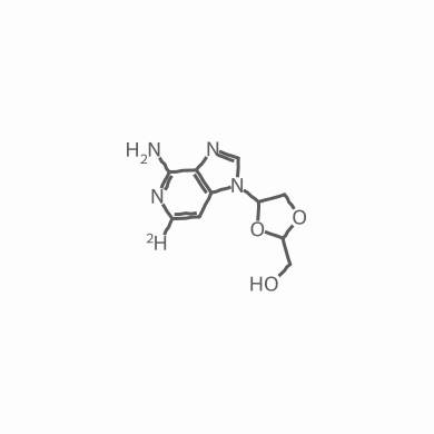 [2H]c1cc2c(ncn2C2COC(CO)O2)c(N)n1